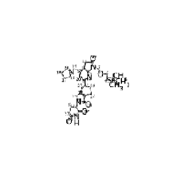 C[Si](C)(C)CCOCN1C(=O)Cc2c(CN3CCCC3)cc(-c3ccc4c(c3)CN(C3CCC(=O)NC3=O)C4=O)nc21